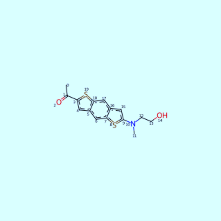 CC(=O)c1cc2cc3sc(N(C)CCO)cc3cc2s1